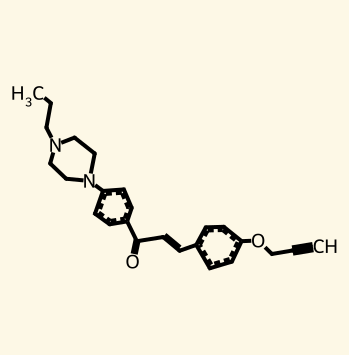 C#CCOc1ccc(C=CC(=O)c2ccc(N3CCN(CCC)CC3)cc2)cc1